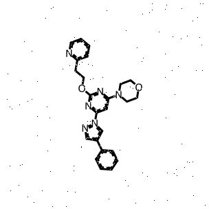 c1ccc(-c2cnn(-c3cc(N4CCOCC4)nc(OCCc4ccccn4)n3)c2)cc1